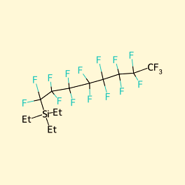 CC[Si](CC)(CC)C(F)(F)C(F)(F)C(F)(F)C(F)(F)C(F)(F)C(F)(F)C(F)(F)C(F)(F)F